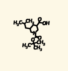 CC(C)CC1CC(C(=O)O)CN(C(=O)OC(C)(C)C)C1